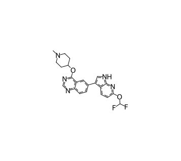 CN1CCC(Oc2ncnc3ccc(-c4c[nH]c5nc(OC(F)F)ccc45)cc23)CC1